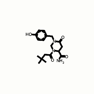 CC(C)(C)CC(=O)N1CN(Cc2ccc(O)cc2)C(=O)CC1C(N)=O